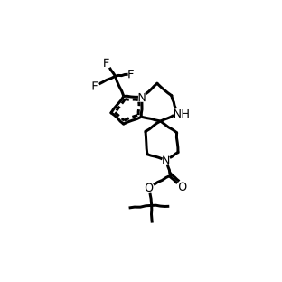 CC(C)(C)OC(=O)N1CCC2(CC1)NCCn1c(C(F)(F)F)ccc12